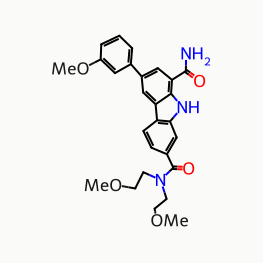 COCCN(CCOC)C(=O)c1ccc2c(c1)[nH]c1c(C(N)=O)cc(-c3cccc(OC)c3)cc12